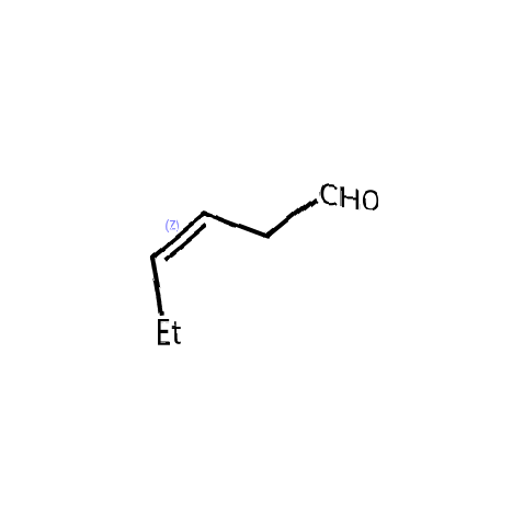 CC/C=C\CC=O